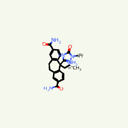 CC(C)n1nc(C2(C[C@@H](C)N)c3ccc(C(N)=O)cc3CCc3cc(C(N)=O)ccc32)[nH]c1=O